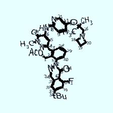 CC(=O)OCc1c(-c2cc(Nc3ccc(OC(C)(C)CN4CCC4)cn3)c(=O)n(C)n2)cccc1-n1ncc2cc(C(C)(C)C)cc(F)c2c1=O